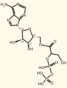 Nc1ncnc2c1ncn2[C@@H]1O[C@H](COC(=O)C(CO)OP(=O)(O)OP(=O)(O)O)[C@@H](O)[C@H]1O